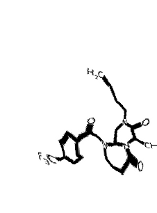 C=CCCN1CC2N(C(=O)c3ccc(C(F)(F)F)cc3)CCC(=O)N2C(C)C1=O